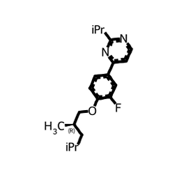 CC(C)C[C@@H](C)COc1ccc(-c2ccnc(C(C)C)n2)cc1F